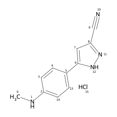 CNc1ccc(-c2cc(C#N)n[nH]2)cc1.Cl